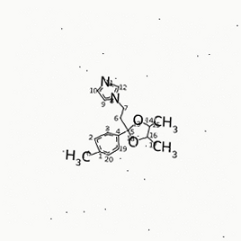 Cc1ccc(C2(CCn3ccnc3)OC(C)C(C)O2)cc1